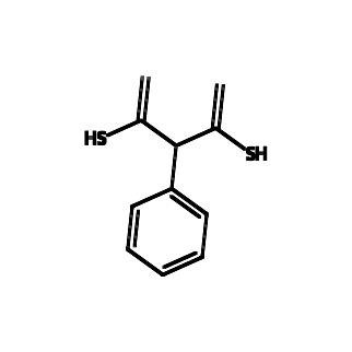 C=C(S)C(C(=C)S)c1ccccc1